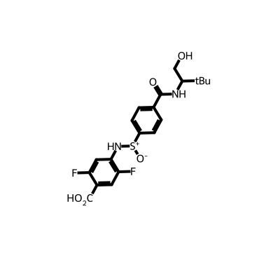 CC(C)(C)C(CO)NC(=O)c1ccc([S+]([O-])Nc2cc(F)c(C(=O)O)cc2F)cc1